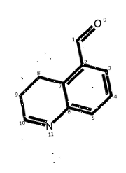 O=Cc1cccc2c1CCC=N2